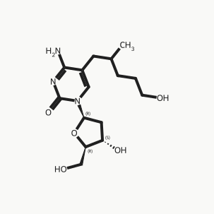 CC(CCCO)Cc1cn([C@H]2C[C@H](O)[C@@H](CO)O2)c(=O)nc1N